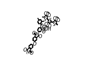 C=c1s/c(=c2/s/c(=C3\C4=C(OCCO4)C(C)[S@@+]3Cc3cc(C)ccc3Oc3ccc(N4C(=O)c5ccc(Oc6ccc7c(c6)C(=O)N(C)C7=O)cc5C4=O)cc3S(=O)(=O)O)c3c2OCCO3)c2c1OCCO2